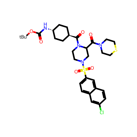 CC(C)(C)OC(=O)N[C@H]1CC[C@H](C(=O)N2CCN(S(=O)(=O)c3ccc4cc(Cl)ccc4c3)CC2C(=O)N2CCSCC2)CC1